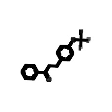 O=C(CCc1ccc(OC(F)(F)F)cc1)c1ccccc1